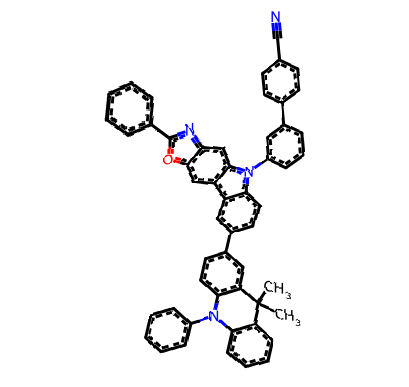 CC1(C)c2ccccc2N(c2ccccc2)c2ccc(-c3ccc4c(c3)c3cc5oc(-c6ccccc6)nc5cc3n4-c3cccc(-c4ccc(C#N)cc4)c3)cc21